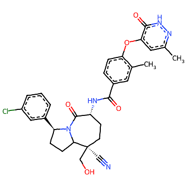 Cc1cc(Oc2ccc(C(=O)N[C@@H]3CC[C@@](C#N)(CO)C4CC[C@@H](c5cccc(Cl)c5)N4C3=O)cc2C)c(=O)[nH]n1